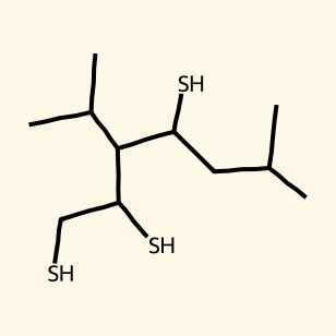 CC(C)CC(S)C(C(C)C)C(S)CS